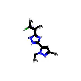 CCn1nc(C)cc1-c1n[nH]c(/C(C)=C(/C)F)n1